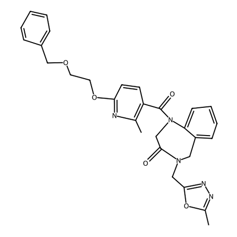 Cc1nnc(CN2Cc3ccccc3N(C(=O)c3ccc(OCCOCc4ccccc4)nc3C)CC2=O)o1